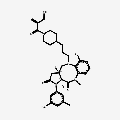 C=C(CO)C(=O)N1CCC(CCCN2C[C@H]3CC(=O)N(c4cc(C(F)(F)F)cc(C)n4)[C@@H]3C(=O)N(C)c3cccc(Cl)c32)CC1